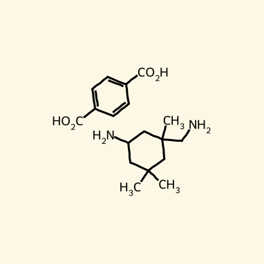 CC1(C)CC(N)CC(C)(CN)C1.O=C(O)c1ccc(C(=O)O)cc1